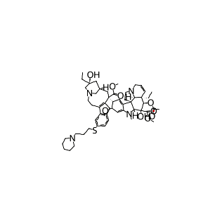 CC[C@]1(O)C[C@H]2CN(CCC3=C(Cc4ccc(SCCCN5CCCCC5)cc43)[C@@](C(=O)OC)(C3C=C4C(=CC3OC)N(C)[C@H]3[C@@](O)(C(=O)OC)[C@H](OC(C)=O)[C@]5(CC)C=CCN6CC[C@]43[C@@H]65)C2)C1